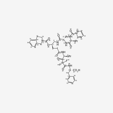 CCC[C@H](NC(=O)CC[C@H](CNC(=O)[C@@H](NC(=O)[C@@H](NC(=O)c1cnccn1)C(C)C)C(C)C)OC(=O)N1CCc2ccccc2C1)C(=O)C(F)(F)C(=O)N[C@@H](Cc1ccccc1)C(=O)O